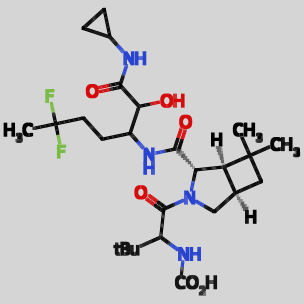 CC(F)(F)CCC(NC(=O)[C@@H]1[C@@H]2[C@H](CN1C(=O)C(NC(=O)O)C(C)(C)C)CC2(C)C)C(O)C(=O)NC1CC1